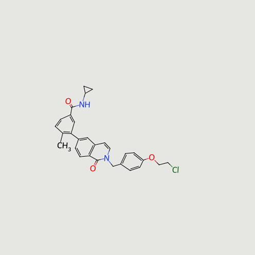 Cc1ccc(C(=O)NC2CC2)cc1-c1ccc2c(=O)n(Cc3ccc(OCCCl)cc3)ccc2c1